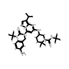 CC(C)c1cnn2c(N(Cc3cccc(N)c3)C(=O)OC(C)(C)C)cc(OC3CCC(C)(C)N(C(=O)OC(C)(C)C)C3)nc12